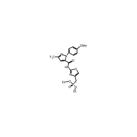 CCOP(=O)(Cc1csc(NC(=O)c2cc(C(F)(F)F)nn2-c2ccc(OC)cc2)n1)OCC